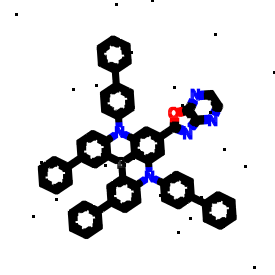 c1ccc(-c2ccc(N3c4ccc(-c5ccccc5)cc4B4c5cc(-c6ccccc6)ccc5N(c5ccc(-c6ccccc6)cc5)c5cc(-c6nc7nccnc7o6)cc3c54)cc2)cc1